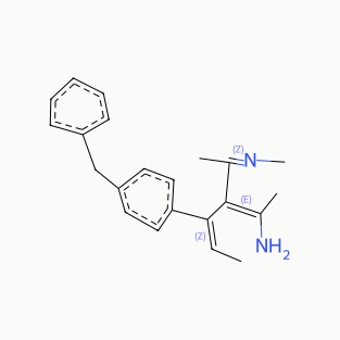 C\C=C(C(/C(C)=N\C)=C(/C)N)\c1ccc(Cc2ccccc2)cc1